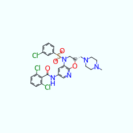 CN1CCN(C[C@H]2CN(S(=O)(=O)c3cccc(Cl)c3)c3cc(NC(=O)c4c(Cl)cccc4Cl)cnc3O2)CC1